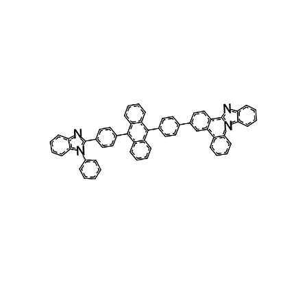 c1ccc(-n2c(-c3ccc(-c4c5ccccc5c(-c5ccc(-c6ccc7c(c6)c6ccccc6n6c8ccccc8nc76)cc5)c5ccccc45)cc3)nc3ccccc32)cc1